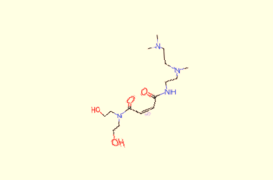 CN(C)CCN(C)CCNC(=O)/C=C\C(=O)N(CCO)CCO